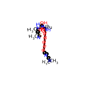 Cc1ncsc1-c1ccc([C@H](C)NC(=O)[C@@H]2C[C@@H](O)CN2C(=O)[C@@H](NC(=O)COCCOCCOCCOCCOc2ccc3nc(-c4ccc(N(C)C)cc4)ccc3c2)C(C)(C)C)cc1